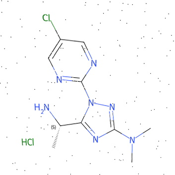 C[C@H](N)c1nc(N(C)C)nn1-c1ncc(Cl)cn1.Cl